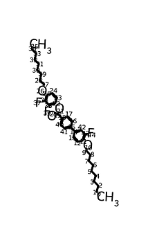 CCCCCCCCCCOc1ccc(-c2ccc(C(=O)Oc3ccc(OCCCCCCCCC)c(F)c3F)cc2)cc1F